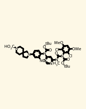 COc1cc(OC)c(Cl)c(N(C(=O)OC(C)(C)C)C(=O)N(C)c2cc(N(C(=O)OC(C)(C)C)c3ccc(N4CCC5(CCN(C(=O)O)CC5)C4)cc3[N+](=O)[O-])ncn2)c1Cl